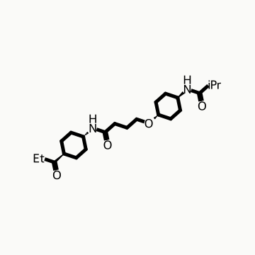 CCC(=O)[C@H]1CC[C@H](NC(=O)CCCO[C@H]2CC[C@H](NC(=O)C(C)C)CC2)CC1